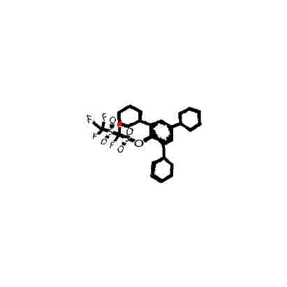 O=S(=O)(Oc1c(C2CCCCC2)cc(C2CCCCC2)cc1C1CCCCC1)C(F)(F)S(=O)(=O)C(F)(F)F